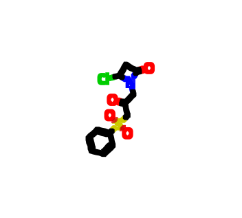 O=C(CN1C(=O)CC1Cl)CS(=O)(=O)c1ccccc1